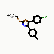 Cc1ccc(-c2nc(SCC(=O)O)sc2-c2ccc(Br)cc2)cc1